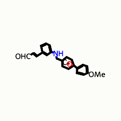 COc1ccc(C23CCC(CNc4cccc(/C=C/C=O)c4)(CC2)CO3)cc1